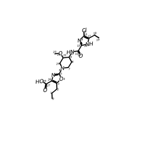 CCCc1oc(N2CCC(NC(=O)c3nc(Cl)c(CC)[nH]3)C(OC)C2)nc1C(=O)O